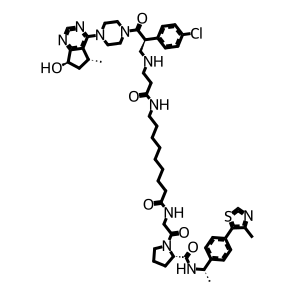 Cc1ncsc1-c1ccc([C@H](C)NC(=O)[C@@H]2CCCN2C(=O)CNC(=O)CCCCCCCCNC(=O)CCNC[C@@H](C(=O)N2CCN(c3ncnc4c3[C@H](C)C[C@H]4O)CC2)c2ccc(Cl)cc2)cc1